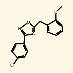 COc1ccccc1Cc1nc(-c2ccc(Cl)cc2)no1